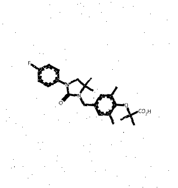 Cc1cc(CN2C(=O)N(c3ccc(F)cc3)CC2(C)C)cc(C)c1OC(C)(C)C(=O)O